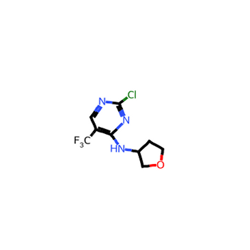 FC(F)(F)c1cnc(Cl)nc1NC1CCOC1